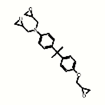 CC(C)(c1ccc(OCC2CO2)cc1)c1ccc(N(CC2CO2)CC2CO2)cc1